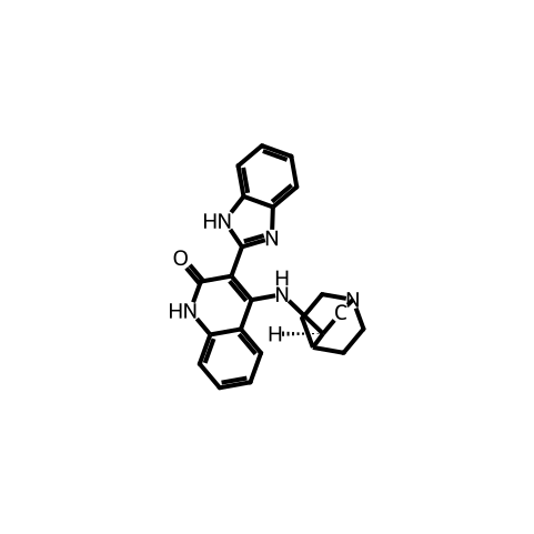 O=c1[nH]c2ccccc2c(N[C@H]2CN3CCC2CC3)c1-c1nc2ccccc2[nH]1